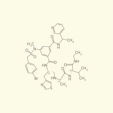 CCNC(=O)[C@@H](NC(=O)[C@H](C)NC[C@H](Cc1cscn1)NC(=O)c1cc(C(=O)NC(C)c2cccnc2)cc(N(C)S(=O)(=O)Cc2ccc(Br)cc2)c1)C(C)C